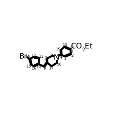 CCOC(=O)c1ccc(N2CCC(=Cc3ccc(Br)cc3)CC2)cc1